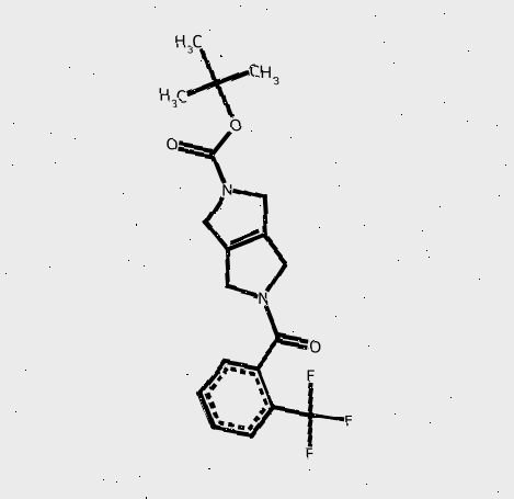 CC(C)(C)OC(=O)N1CC2=C(C1)CN(C(=O)c1ccccc1C(F)(F)F)C2